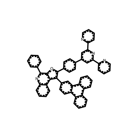 c1ccc(-c2nc3ccccc3c3c(-c4ccc5c6ccccc6c6ccccc6c5c4)c(-c4ccc(-c5cc(-c6ccccn6)nc(-c6ccccn6)c5)cc4)oc23)cc1